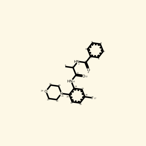 CC(NC(=O)c1ccccc1)C(=O)Nc1cc(F)ccc1N1CCOCC1